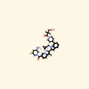 Cc1c(-c2cc3cccc(C4CCN(C(=O)C(C)(C)CO)CC4)c3n2CC2CC2)nn2cc(C(=O)N3C[C@H](N)C[C@@H](F)C3)ccc12